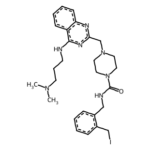 CN(C)CCCNc1nc(CN2CCN(C(=O)NCc3ccccc3CI)CC2)nc2ccccc12